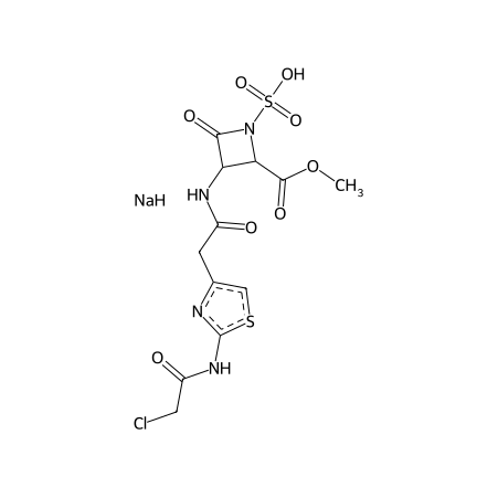 COC(=O)C1C(NC(=O)Cc2csc(NC(=O)CCl)n2)C(=O)N1S(=O)(=O)O.[NaH]